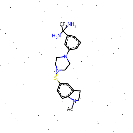 CC(=O)N1CCc2cc(SN3CCN(c4cccc(C(N)(N)C(F)(F)F)c4)CC3)ccc21